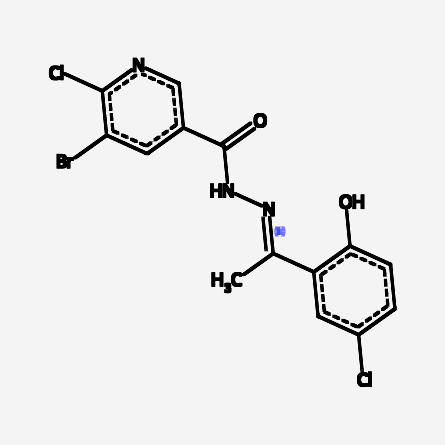 C/C(=N\NC(=O)c1cnc(Cl)c(Br)c1)c1cc(Cl)ccc1O